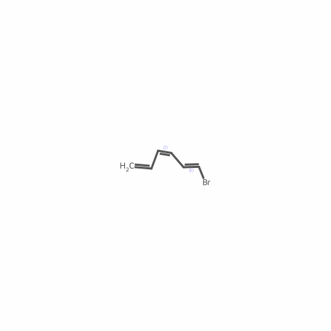 C=C/C=C\C=C\Br